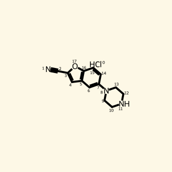 Cl.N#Cc1cc2cc(N3CCNCC3)ccc2o1